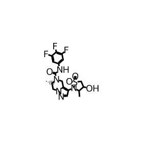 CC1C(O)CS(=O)(=O)N1c1cnn2c1CN(C(=O)Nc1cc(F)c(F)c(F)c1)[C@@H](C)C2